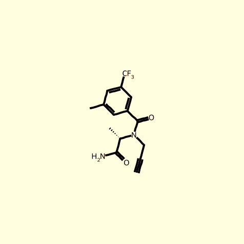 C#CCN(C(=O)c1cc(C)cc(C(F)(F)F)c1)[C@@H](C)C(N)=O